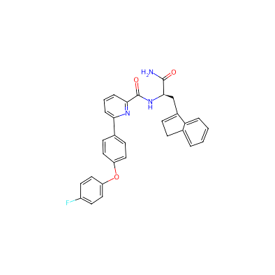 NC(=O)[C@@H](CC1=CCc2ccccc21)NC(=O)c1cccc(-c2ccc(Oc3ccc(F)cc3)cc2)n1